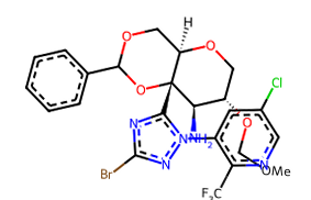 COCO[C@H]1CO[C@@H]2COC(c3ccccc3)O[C@@]2(c2nc(Br)nn2-c2cc(Cl)cnc2C(F)(F)F)[C@@H]1N